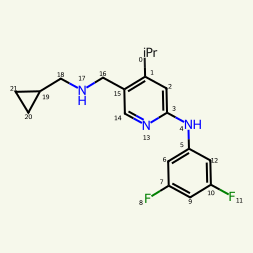 CC(C)c1cc(Nc2cc(F)cc(F)c2)ncc1CNCC1CC1